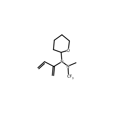 C=CC(=C)N(C1CCCCO1)N(C)C(F)(F)F